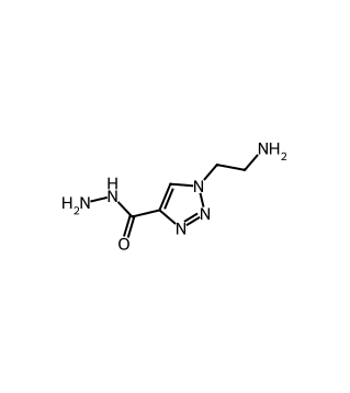 NCCn1cc(C(=O)NN)nn1